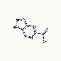 OC(=S)c1ncc2[nH]cnc2n1